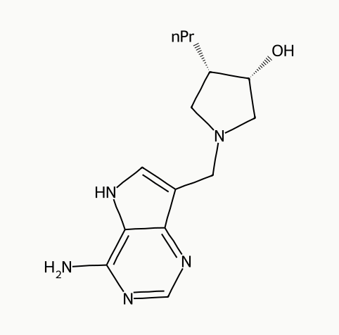 CCC[C@H]1CN(Cc2c[nH]c3c(N)ncnc23)C[C@H]1O